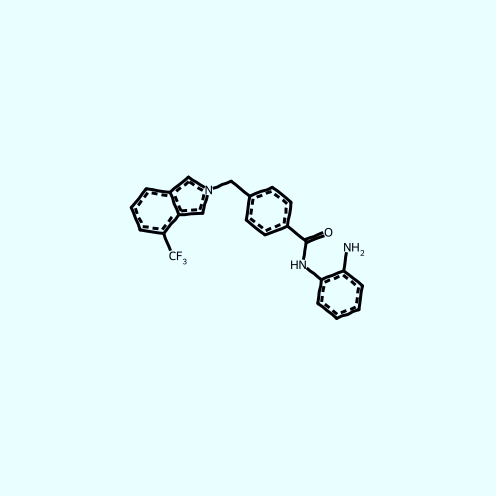 Nc1ccccc1NC(=O)c1ccc(Cn2cc3cccc(C(F)(F)F)c3c2)cc1